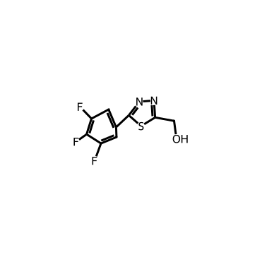 OCc1nnc(-c2cc(F)c(F)c(F)c2)s1